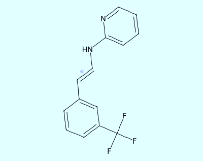 FC(F)(F)c1cccc(/C=C/Nc2ccccn2)c1